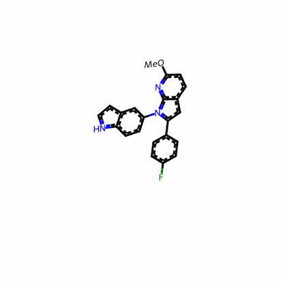 COc1ccc2cc(-c3ccc(F)cc3)n(-c3ccc4[nH]ccc4c3)c2n1